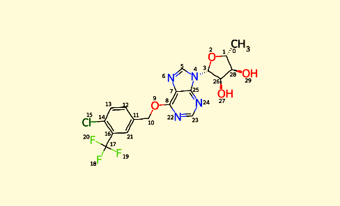 C[C@H]1O[C@@H](n2cnc3c(OCc4ccc(Cl)c(C(F)(F)F)c4)ncnc32)[C@H](O)[C@@H]1O